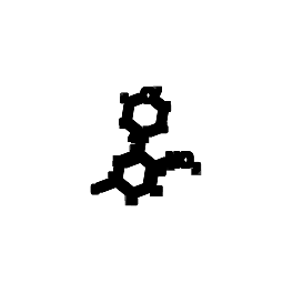 CC1C=C(N2CCOCC2)C([N+](=O)[O-])=CC1